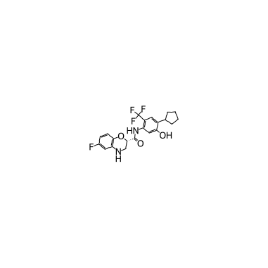 O=C(Nc1cc(O)c(C2CCCC2)cc1C(F)(F)F)[C@@H]1CNc2cc(F)ccc2O1